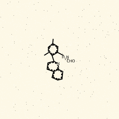 Cc1cc(C)c(-c2ccc3ccccc3n2)c(C)c1.NC=O